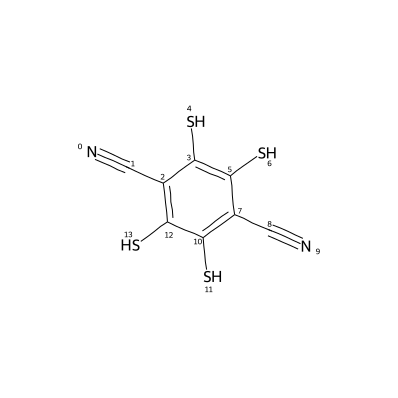 N#Cc1c(S)c(S)c(C#N)c(S)c1S